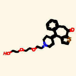 O=C1Cc2ccccc2C(=C2CCN(CCOCCOCCO)CC2)c2ccsc21